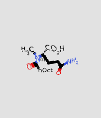 CCCCCCCCC(=O)N(C)[C@@H](CCC(N)=O)C(=O)O